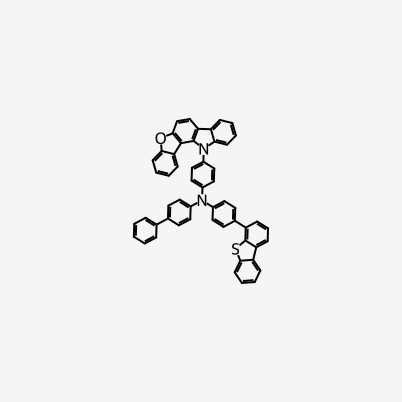 c1ccc(-c2ccc(N(c3ccc(-c4cccc5c4sc4ccccc45)cc3)c3ccc(-n4c5ccccc5c5ccc6oc7ccccc7c6c54)cc3)cc2)cc1